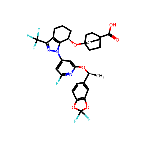 C[C@H](Oc1cc(-n2nc(C(F)(F)F)c3c2[C@H](OC24CCC(C(=O)O)(CC2)CC4)CCC3)cc(F)n1)c1ccc2c(c1)OC(F)(F)O2